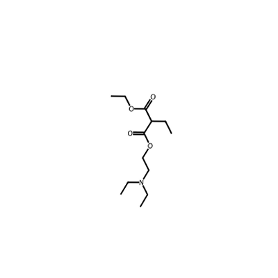 CCOC(=O)C(CC)C(=O)OCCN(CC)CC